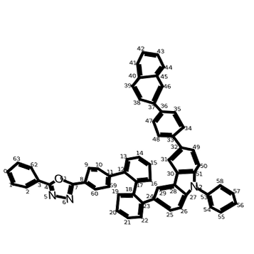 c1ccc(-c2nnc(-c3ccc(-c4ccccc4-c4ccccc4-c4ccc5c(c4)c4cc(-c6ccc(-c7ccc8ccccc8c7)cc6)ccc4n5-c4ccccc4)cc3)o2)cc1